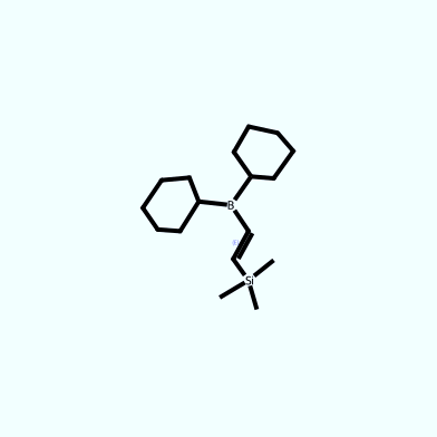 C[Si](C)(C)/C=C/B(C1CCCCC1)C1CCCCC1